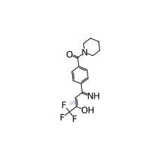 N=C(/C=C(\O)C(F)(F)F)c1ccc(C(=O)N2CCCCC2)cc1